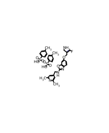 Cc1cc(CNc2nc3ccc(OC/C(=C\F)CN)cc3o2)cc(C)n1.Cc1ccc(S(=O)(=O)O)cc1.Cc1ccc(S(=O)(=O)O)cc1